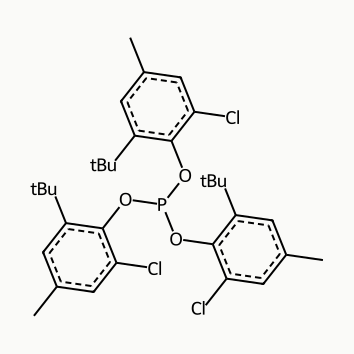 Cc1cc(Cl)c(OP(Oc2c(Cl)cc(C)cc2C(C)(C)C)Oc2c(Cl)cc(C)cc2C(C)(C)C)c(C(C)(C)C)c1